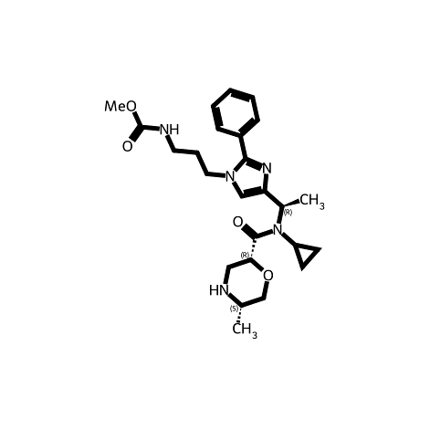 COC(=O)NCCCn1cc([C@@H](C)N(C(=O)[C@H]2CN[C@@H](C)CO2)C2CC2)nc1-c1ccccc1